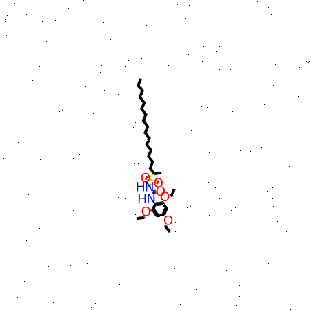 CCCCCCCCCCCCCCCCC(C)S(=O)(=O)NC(=O)Nc1c(OCC)cc(OCC)cc1OCC